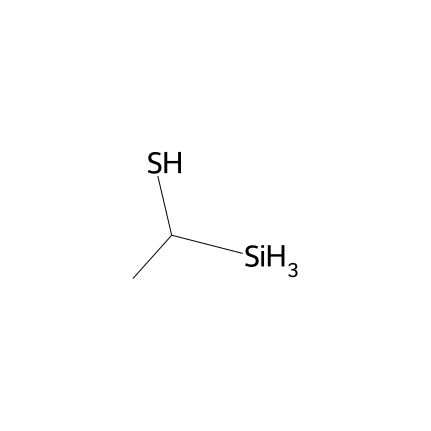 CC([SiH3])S